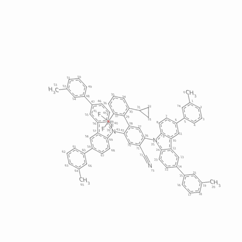 Cc1cccc(-c2ccc3c(c2)c2cc(-c4cccc(C)c4)ccc2n3-c2cc(-c3c(C4CC4)cccc3C(F)(F)F)c(-n3c4ccc(-c5cccc(C)c5)cc4c4cc(-c5cccc(C)c5)ccc43)cc2C#N)c1